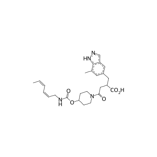 C/C=C\C=C/CNC(=O)OC1CCN(C(=O)CC(Cc2cc(C)c3[nH]ncc3c2)C(=O)O)CC1